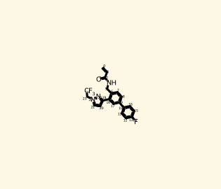 C=CC(=O)NCc1ccc(-c2ccc(F)cc2)cc1-c1ccn(CC(F)(F)F)n1